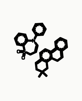 CC1(C)CC=c2ccc3c(c2C1)CC=c1ccccc1=3.O=S1(=O)CC=CN(c2ccccc2)c2ccccc21